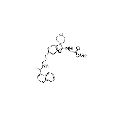 COC(=O)CNC(=O)C1(c2ccc(CCCNC(C)c3cccc4ccccc34)cc2)CCOCC1